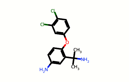 CC(C)(N)c1cc(N)ccc1Oc1ccc(Cl)c(Cl)c1